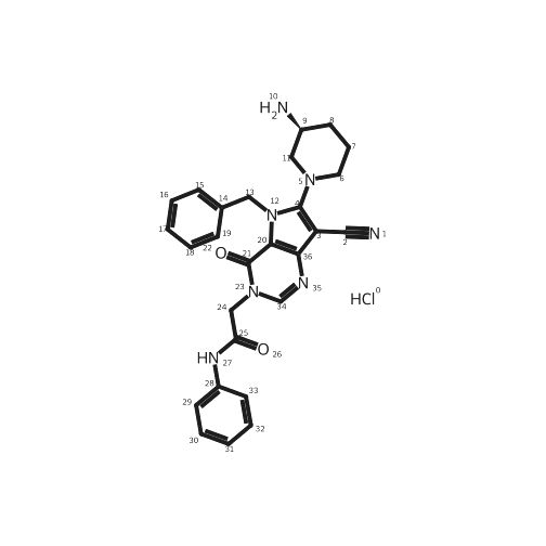 Cl.N#Cc1c(N2CCC[C@H](N)C2)n(Cc2ccccc2)c2c(=O)n(CC(=O)Nc3ccccc3)cnc12